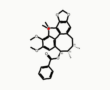 COc1cc2c(c(OC)c1OC)-c1c(cc3c(c1OC)OCO3)C[C@H](C)[C@H](C)[C@H]2OC(=O)c1ccccc1